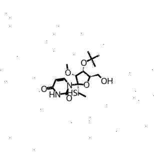 CO[C@@H]1[C@H](OC(C)(C)C)[C@@H](CO)O[C@]1(n1ccc(=O)[nH]c1=O)[SiH](C)C